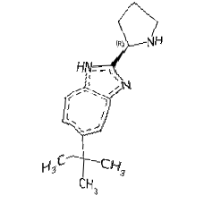 CC(C)(C)c1ccc2[nH]c([C@H]3CCCN3)nc2c1